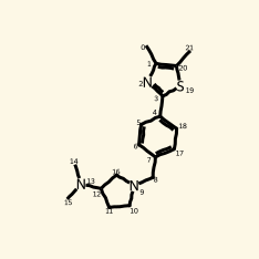 Cc1nc(-c2ccc(CN3CCC(N(C)C)C3)cc2)sc1C